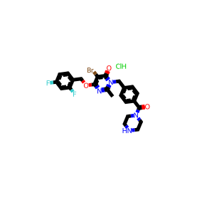 Cc1nc(OCc2ccc(F)cc2F)c(Br)c(=O)n1Cc1ccc(C(=O)N2CCNCC2)cc1.Cl